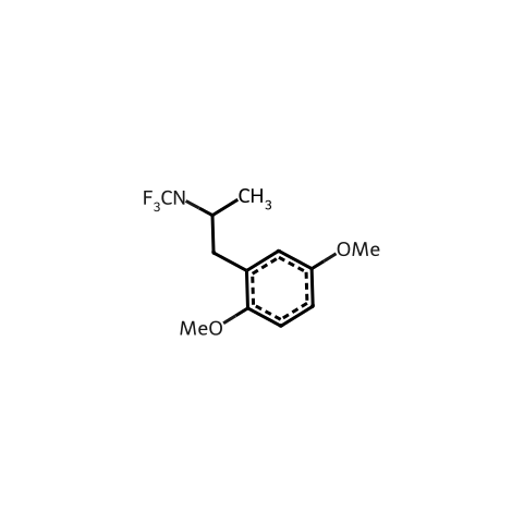 COc1ccc(OC)c(CC(C)NC(F)(F)F)c1